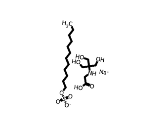 CCCCCCCCCCCCOS(=O)(=O)[O-].O=C(O)CNC(CO)(CO)CO.[Na+]